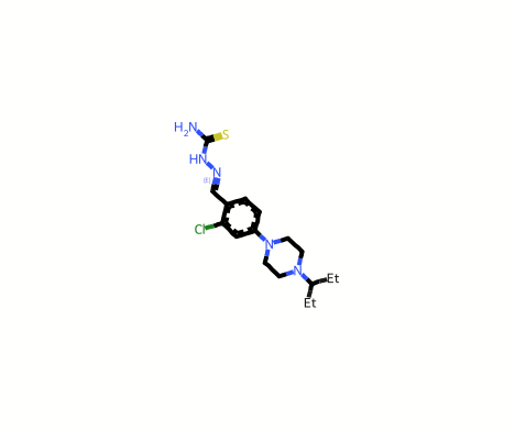 CCC(CC)N1CCN(c2ccc(/C=N/NC(N)=S)c(Cl)c2)CC1